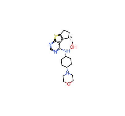 OC[C@H]1CCc2sc3ncnc(N[C@H]4CC[C@H](N5CCOCC5)CC4)c3c21